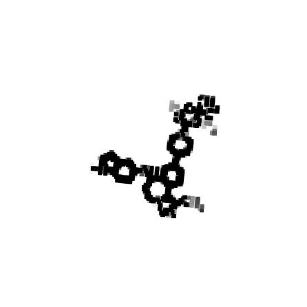 Cc1nnn2c1-c1ccc(C3=CCN(C(=O)OC(C)(C)C)CC3)cc1C(Nc1ccc3[nH]ccc3c1)CC2